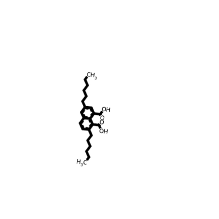 CCCCCCc1cc(C(=O)O)c2c(C(=O)O)c(CCCCCC)ccc2c1